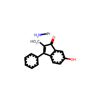 CC(C)N.O=C(O)C1=C(c2ccccc2)c2ccc(O)cc2C1=O